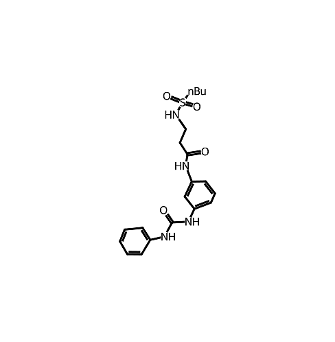 CCCCS(=O)(=O)NCCC(=O)Nc1cccc(NC(=O)Nc2ccccc2)c1